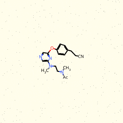 CC(=O)N(C)CCN(C)c1cncc(Oc2ccc(CCC#N)cc2)n1